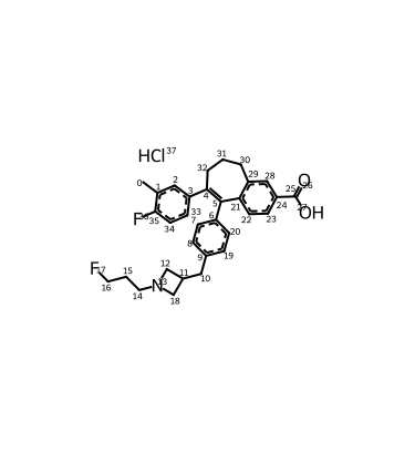 Cc1cc(C2=C(c3ccc(CC4CN(CCCF)C4)cc3)c3ccc(C(=O)O)cc3CCC2)ccc1F.Cl